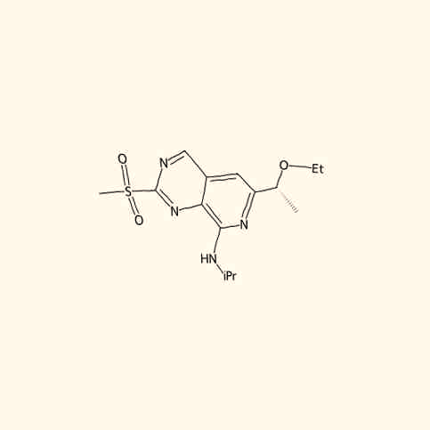 CCO[C@H](C)c1cc2cnc(S(C)(=O)=O)nc2c(NC(C)C)n1